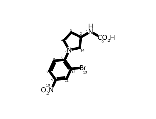 O=C(O)NC1CCN(c2ccc([N+](=O)[O-])cc2Br)C1